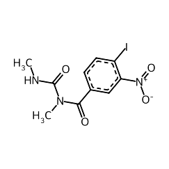 CNC(=O)N(C)C(=O)c1ccc(I)c([N+](=O)[O-])c1